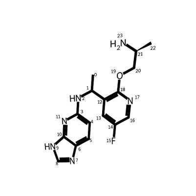 CC(Nc1ccc2nc[nH]c2n1)c1cc(F)cnc1OC[C@H](C)N